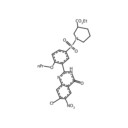 CCCOc1ccc(S(=O)(=O)N2CCCC(C(=O)OCC)C2)cc1-c1nc2cc(Cl)c([N+](=O)[O-])cc2c(=O)[nH]1